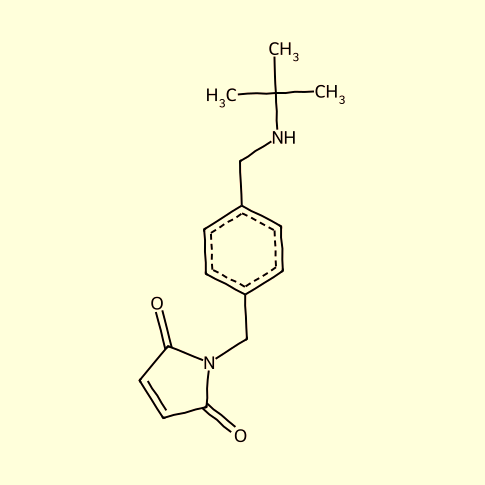 CC(C)(C)NCc1ccc(CN2C(=O)C=CC2=O)cc1